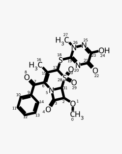 COC1C(=O)N2C(C(=O)c3ccccc3)=C(C)C(Sc3nc(=O)c(O)nn3C)S(=O)(=O)C12